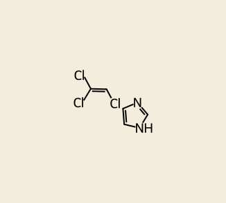 ClC=C(Cl)Cl.c1c[nH]cn1